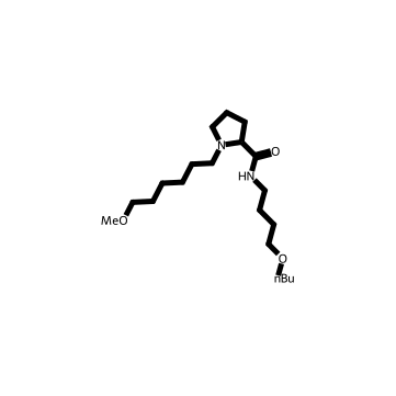 CCCCOCCCCNC(=O)C1CCCN1CCCCCCOC